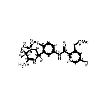 COCc1cc(Cl)cnc1C(=O)Nc1ccc(F)c([C@]2(C)CS(=O)(=O)[C@@](C)(F)C(N)=N2)c1